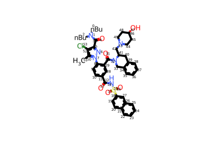 CCCCN(CCCC)C(=O)c1nn(-c2ccc(C(=O)NS(=O)(=O)c3ccc4ccccc4c3)cc2C(=O)N2Cc3ccccc3CC2CN2CCC(O)CC2)c(C)c1Cl